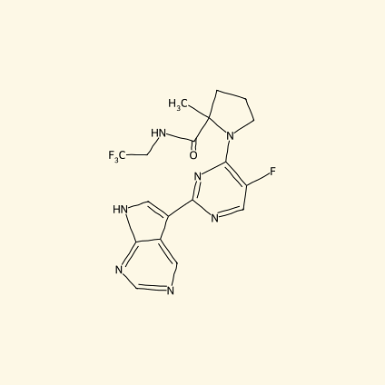 CC1(C(=O)NCC(F)(F)F)CCCN1c1nc(-c2c[nH]c3ncncc23)ncc1F